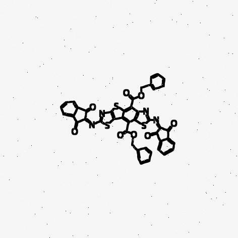 O=C(OCc1ccccc1)c1c2nc(N=c3c(=O)c4ccccc4c3=O)sc2c(C(=O)OCc2ccccc2)c2c1sc1nc(N=c3c(=O)c4ccccc4c3=O)sc12